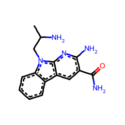 CC(N)Cn1c2ccccc2c2cc(C(N)=O)c(N)nc21